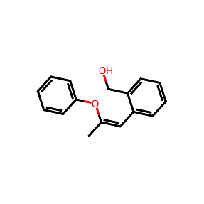 CC(=Cc1ccccc1CO)Oc1ccccc1